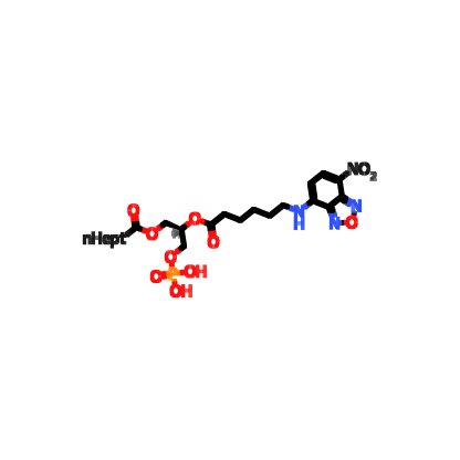 CCCCCCCC(=O)OC[C@H](COP(=O)(O)O)OC(=O)CCCCCNc1ccc([N+](=O)[O-])c2nonc12